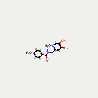 Cn1cc(O)c(=O)cc1CNC(=O)c1ccc(C(F)(F)F)cc1